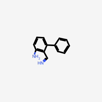 N=Cc1c(N)cccc1-c1ccccc1